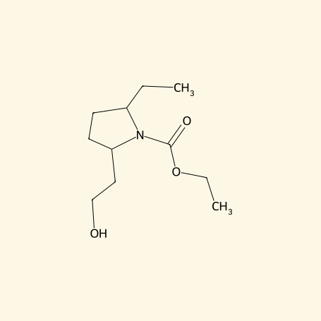 CCOC(=O)N1C(CC)CCC1CCO